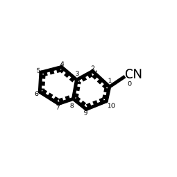 N#Cc1[c]c2ccccc2cc1